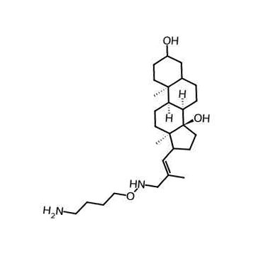 C/C(=C\C1CC[C@@]2(O)[C@@H]3CCC4CC(O)CC[C@]4(C)[C@@H]3CC[C@]12C)CNOCCCCN